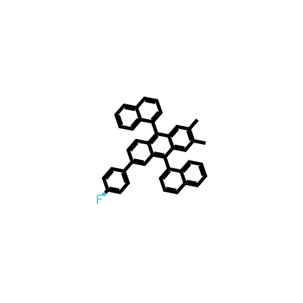 Cc1cc2c(-c3cccc4ccccc34)c3ccc(-c4ccc(F)cc4)cc3c(-c3cccc4ccccc34)c2cc1C